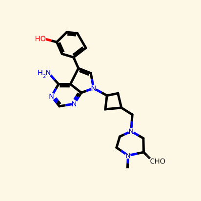 CN1CCN(CC2CC(n3cc(-c4cccc(O)c4)c4c(N)ncnc43)C2)CC1C=O